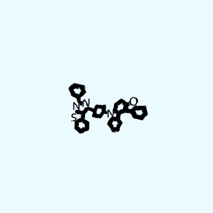 c1ccc(-c2nc(-c3ccc(-n4c5ccccc5c5c6c(ccc54)oc4ccccc46)cc3)c3c(n2)sc2ccccc23)cc1